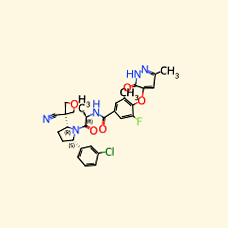 Cc1cc(Oc2c(C)cc(C(=O)N[C@H](C)C(=O)N3[C@H](c4cccc(Cl)c4)CC[C@@H]3C3(C#N)COC3)cc2F)c(=O)[nH]n1